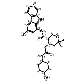 CC1(C)CN(CC(=O)NC2CCC(O)CC2)[C@H](C(=O)Nc2cc(Cl)cc3c2[nH]c2cnccc23)CO1